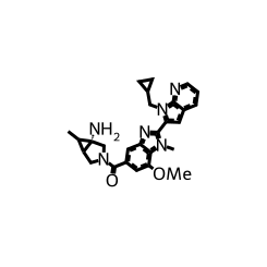 COc1cc(C(=O)N2CC3C(C)[C@@]3(N)C2)cc2nc(-c3cc4cccnc4n3CC3CC3)n(C)c12